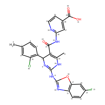 Bc1ccc(C2N=C(Nc3nc4ccc(F)cc4o3)NC(C)=C2C(=O)Nc2cc(C(=O)O)ccn2)c(Cl)c1